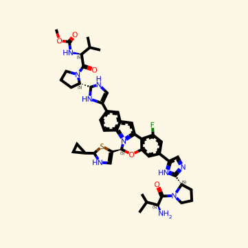 COC(=O)N[C@H](C(=O)N1CCC[C@H]1C1NC=C(c2ccc3c(c2)cc2n3[C@H](C3=CNC(C4CC4)S3)Oc3cc(-c4cnc([C@@H]5CCCN5C(=O)[C@@H](N)C(C)C)[nH]4)cc(F)c3-2)N1)C(C)C